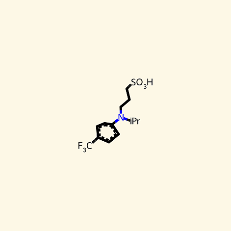 CC(C)N(CCCS(=O)(=O)O)c1ccc(C(F)(F)F)cc1